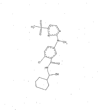 CN(c1ccc(Cl)c(C(=O)NC(O)C2CCCCC2)c1)c1nccc(S(C)(=O)=O)n1